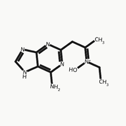 CC[N+](O)=C(C)Cc1nc(N)c2[nH]cnc2n1